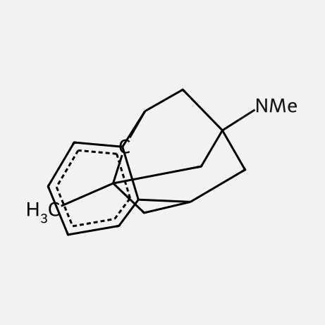 CNC12CC3CC(C)(CC(C1)c1ccccc13)C2